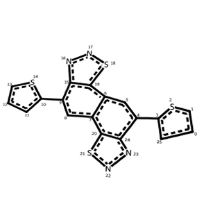 c1csc(-c2cc3c(cc(-c4cccs4)c4nnsc43)c3snnc23)c1